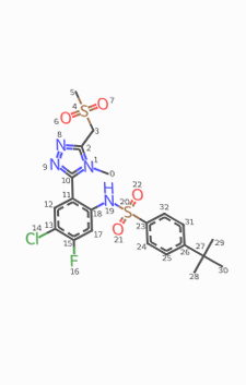 Cn1c(CS(C)(=O)=O)nnc1-c1cc(Cl)c(F)cc1NS(=O)(=O)c1ccc(C(C)(C)C)cc1